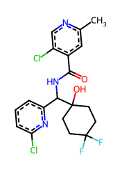 Cc1cc(C(=O)NC(c2cccc(Cl)n2)C2(O)CCC(F)(F)CC2)c(Cl)cn1